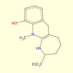 CCOC(=O)C1CCCC2=C(N1)N(C)c1c(O)cccc1C2